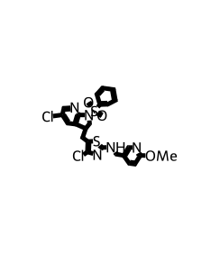 COc1ccc(CNc2nc(Cl)c(CC3CN(S(=O)(=O)c4ccccc4)c4ncc(Cl)cc43)s2)cn1